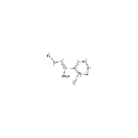 CCO/N=C(\OC)c1c[c]ccc1Cl